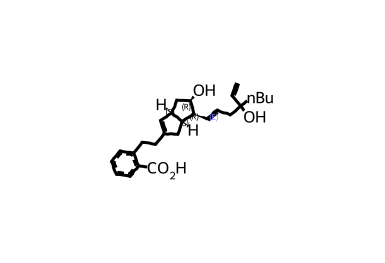 C=CC(O)(C/C=C/[C@H]1[C@H]2CC(CCc3ccccc3C(=O)O)=C[C@H]2C[C@H]1O)CCCC